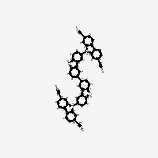 N#Cc1ccc2c3ccc(C#N)cc3n(-c3ccc4oc5ccc(-c6ccc7oc8ccc(-n9c%10cc(C#N)ccc%10c%10ccc(C#N)cc%109)cc8c7c6)cc5c4c3)c2c1